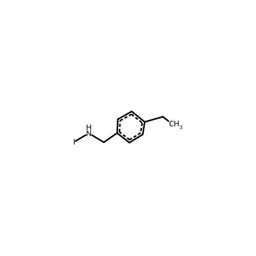 CCc1ccc(CNI)cc1